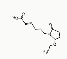 CCOC1CCC(=O)N1CCCC=CC(=O)O